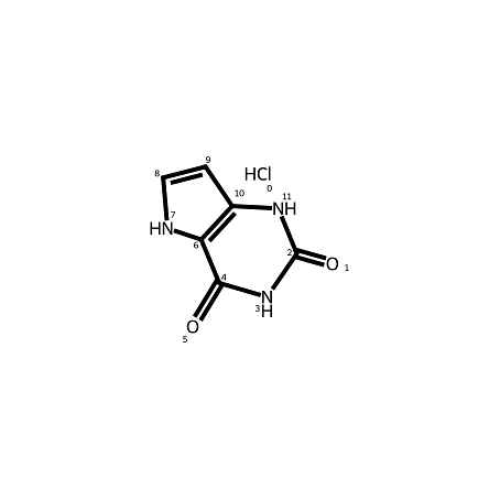 Cl.O=c1[nH]c(=O)c2[nH]ccc2[nH]1